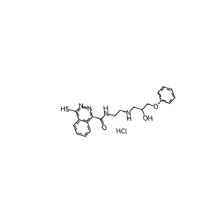 Cl.O=C(NCCNCC(O)COc1ccccc1)c1nnc(S)c2ccccc12